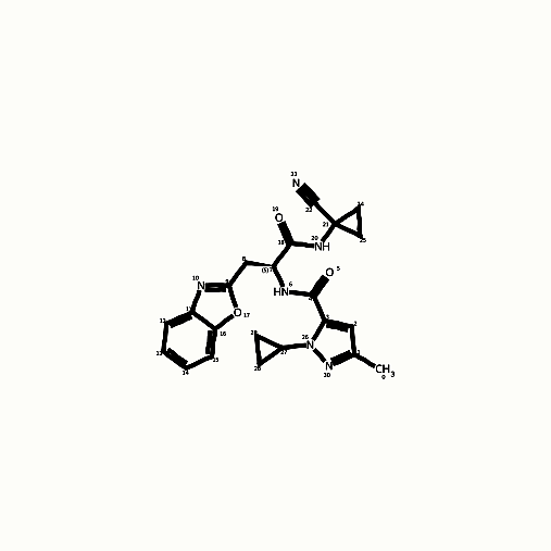 Cc1cc(C(=O)N[C@@H](Cc2nc3ccccc3o2)C(=O)NC2(C#N)CC2)n(C2CC2)n1